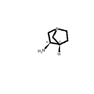 N[C@H]1CN2CC[C@H]1C2